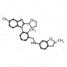 Cc1c(CNc2ccc3c(c2)O[C@H](C)[CH]3)cccc1-n1c(C2CCCO2)nc2cc(Cl)ccc21